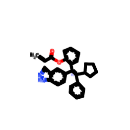 C=CC(=O)Oc1ccccc1/C(=C(/c1ccccc1)C1CCCC1)c1ccc2[nH]ncc2c1